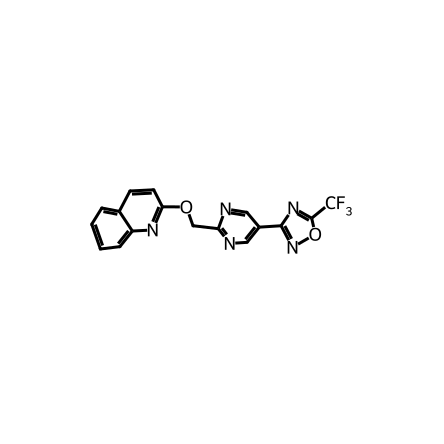 FC(F)(F)c1nc(-c2cnc(COc3ccc4ccccc4n3)nc2)no1